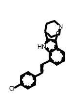 Clc1ccc(C=Cc2cccc3c4c([nH]c23)C2CCN(CC2)C4)cc1